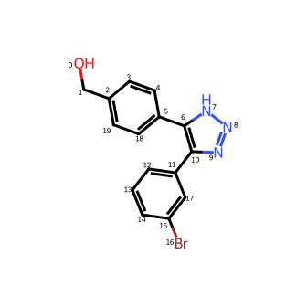 OCc1ccc(-c2[nH]nnc2-c2cccc(Br)c2)cc1